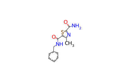 Cc1nc(C(N)=O)sc1C(=O)NCc1ccccc1